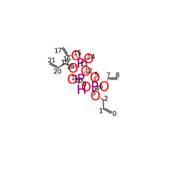 C=CCOP(=O)(OC=C)O[PH](=O)OP(=O)(OC=C)OCC=C